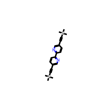 C[Si](C)(C)C#Cc1ccc(-c2ccc(C#C[Si](C)(C)C)cn2)nc1